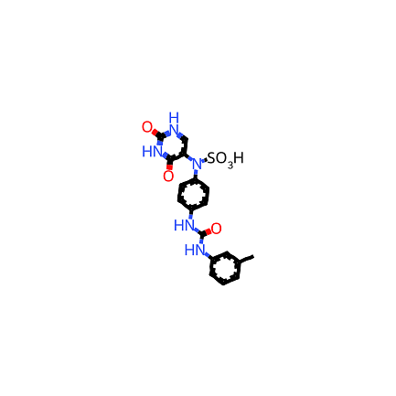 Cc1cccc(NC(=O)Nc2ccc(N(c3c[nH]c(=O)[nH]c3=O)S(=O)(=O)O)cc2)c1